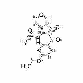 CCOc1ccc(C(=O)c2c(O)c3coccc-3c2NC(C)=O)cc1